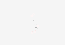 C=C(C)C(=O)OCCC#Cc1ccc(Oc2ccc(OC3OC3C(=C)C)cc2)cc1